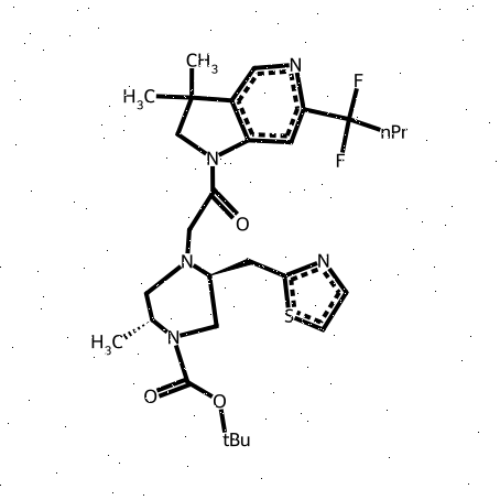 CCCC(F)(F)c1cc2c(cn1)C(C)(C)CN2C(=O)CN1C[C@@H](C)N(C(=O)OC(C)(C)C)C[C@@H]1Cc1nccs1